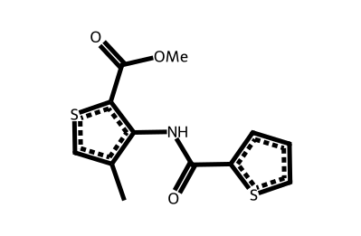 COC(=O)c1scc(C)c1NC(=O)c1cccs1